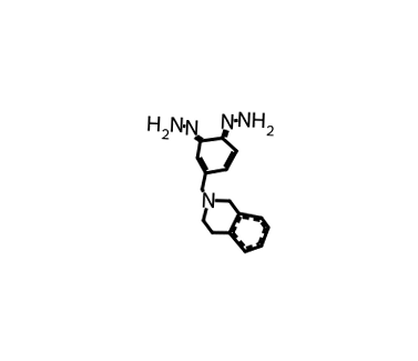 NN=C1C=CC(CN2CCc3ccccc3C2)=CC1=NN